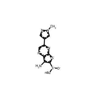 CCCC[S+]([O-])c1sc2nc(-c3cnn(C)c3)cnc2c1N